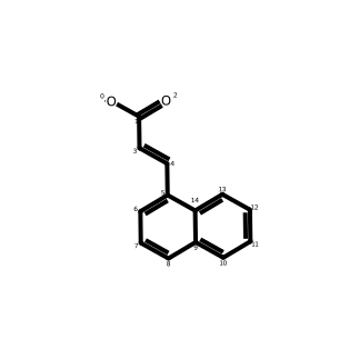 [O]C(=O)C=Cc1cccc2ccccc12